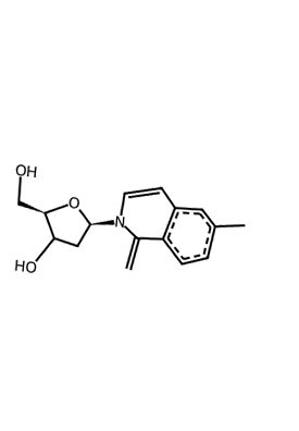 C=C1c2ccc(C)cc2C=CN1[C@H]1CC(O)[C@@H](CO)O1